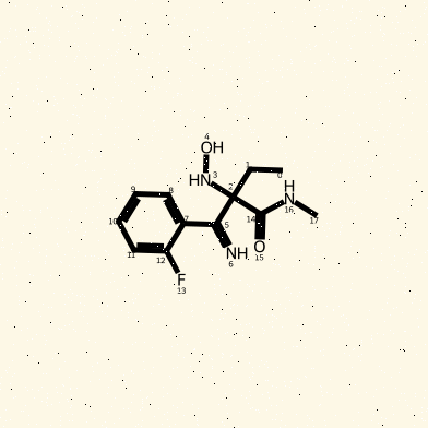 CCC(NO)(C(=N)c1ccccc1F)C(=O)NC